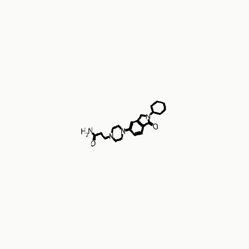 NC(=O)CCN1CCN(c2ccc3c(c2)CN(C2CCCCC2)C3=O)CC1